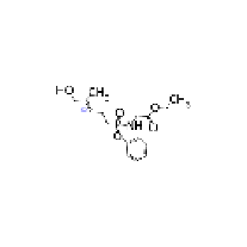 CCOC(=O)CNP(=O)(CC/C=C(\C)CO)Oc1ccccc1